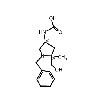 C[C@]1(CO)C[C@H](NC(=O)O)CN1Cc1ccccc1